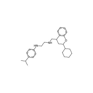 CC(C)c1ccc(NCCNCC2CC(C3CCCCC3)Oc3ccccc32)cc1